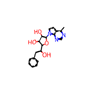 Cc1ncnc2c1ccn2C1OC(C(O)Cc2ccccc2)C(O)C1O